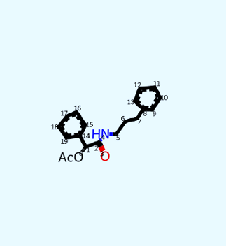 CC(=O)OC(C(=O)NCCCc1ccccc1)c1ccccc1